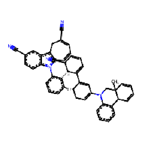 Cc1cccc(-n2c3c(c4cc(C#N)ccc42)CC(C#N)=CC=C3)c1[C@H]1C(C2=CC(N3CC4(C)C=CC=CC4c4ccccc43)=CCC2)=CC=CC1C#N